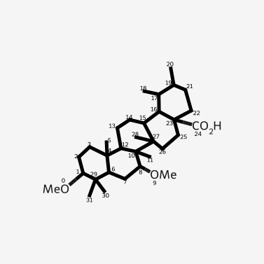 COC1CCC2(C)C(CC(OC)C3(C)C2CCC2C4C(C)C(C)CCC4(C(=O)O)CCC23C)C1(C)C